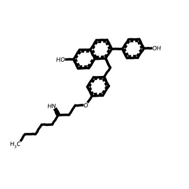 CCCCCC(=N)CCOc1ccc(Cc2c(-c3ccc(O)cc3)ccc3cc(O)ccc23)cc1